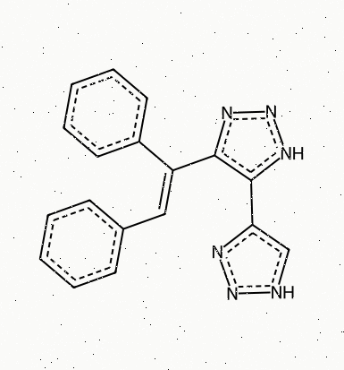 C(=C(c1ccccc1)c1nn[nH]c1-c1c[nH]nn1)c1ccccc1